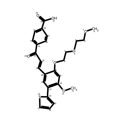 COCCOCCOc1cc(OC)c(-c2cccs2)cc1C=CC(=O)c1ccc(C(=O)O)cc1